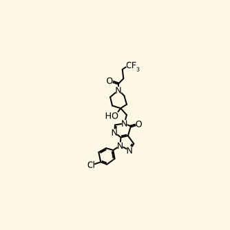 O=C(CCC(F)(F)F)N1CCC(O)(Cn2cnc3c(cnn3-c3ccc(Cl)cc3)c2=O)CC1